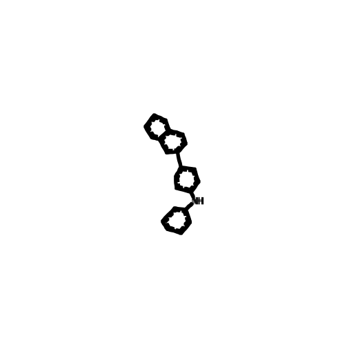 c1ccc(Nc2ccc(-c3ccc4ccccc4c3)cc2)cc1